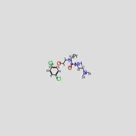 CC(C)N(CCOc1cc(Cl)ccc1Cl)C(=O)NCCN(C)C